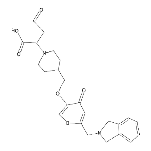 O=CCC(C(=O)O)N1CCC(COc2coc(CN3Cc4ccccc4C3)cc2=O)CC1